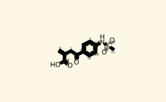 C=C(CC(=O)c1ccc(NS(C)(=O)=O)cc1)C(=O)O